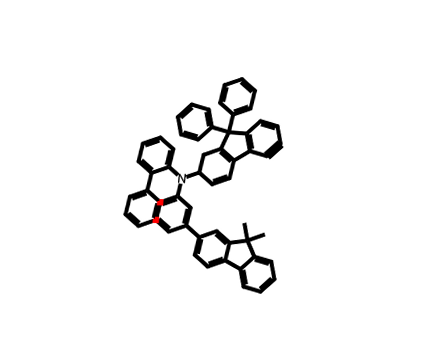 CC1(C)c2ccccc2-c2ccc(-c3cccc(N(c4ccccc4-c4ccccc4)C4C=CC5=C(C4)C(c4ccccc4)(c4ccccc4)c4ccc#cc45)c3)cc21